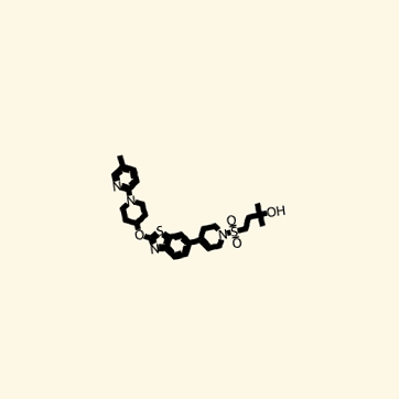 Cc1ccc(N2CCC(Oc3nc4ccc(C5=CCN(S(=O)(=O)CCC(C)(C)O)CC5)cc4s3)CC2)nc1